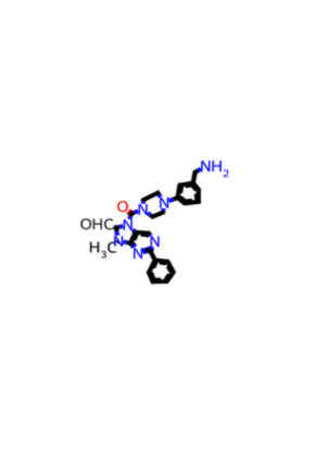 CN1c2nc(-c3ccccc3)ncc2N(C(=O)N2CCN(c3cccc(CN)c3)CC2)C1C=O